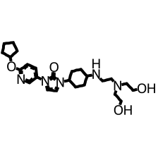 O=c1n(-c2ccc(OC3CCCC3)nc2)ccn1C1CCC(NCCN(CCO)CCO)CC1